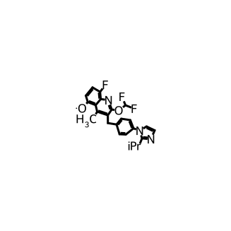 Cc1c(Cc2ccc(-n3ccnc3C(C)C)cc2)c(OC(F)F)nc2c(F)ccc([O])c12